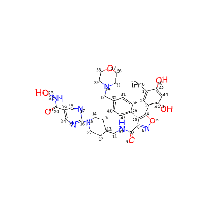 CC(C)c1cc(-c2onc(C(=O)NCC3CCN(c4ncc(C(=O)NO)cn4)CC3)c2-c2ccc(CN3CCOCC3)cc2)c(O)cc1O